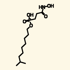 CC(C)CCCCCCCOP(=O)(O)CCC(=O)NO